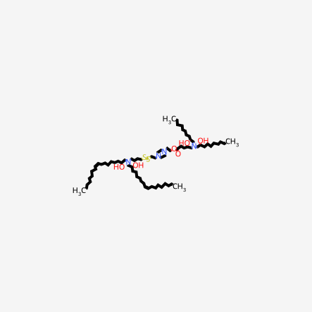 CCCCCCCC/C=C\CCCCCC[C@H](O)CN(CCCCSSCCN1CCN(CCOC(=O)CCCCN(CC(O)CCCCCCCC)CC(O)CCCCCCCC)CC1)C[C@@H](O)CCCCCC/C=C\CCCCCCCC